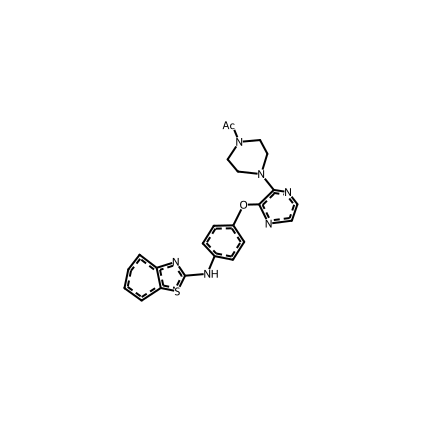 CC(=O)N1CCN(c2nccnc2Oc2ccc(Nc3nc4ccccc4s3)cc2)CC1